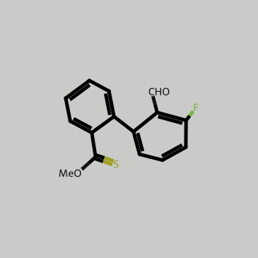 COC(=S)c1ccccc1-c1cccc(F)c1C=O